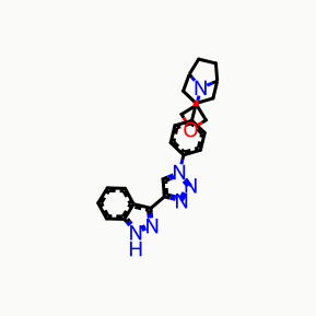 c1ccc2c(-c3cn(-c4ccc(C5CC6CCC(C5)N6C5COC5)cc4)nn3)n[nH]c2c1